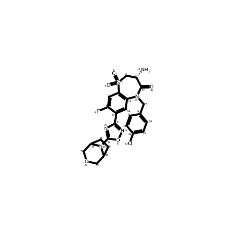 N[C@H]1CS(=O)(=O)c2cc(F)c(-c3noc(N4C5CCC4COC5)n3)cc2N(Cc2ccc(Cl)cc2)C1=O